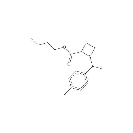 CCCCOC(=O)C1CCN1C(C)c1ccc(C)cc1